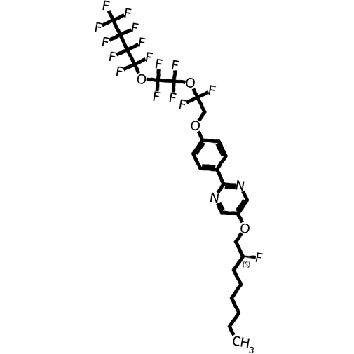 CCCCCC[C@H](F)COc1cnc(-c2ccc(OCC(F)(F)OC(F)(F)C(F)(F)OC(F)(F)C(F)(F)C(F)(F)C(F)(F)F)cc2)nc1